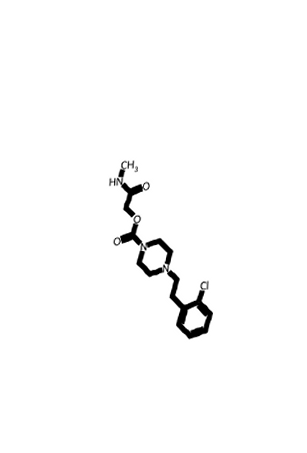 CNC(=O)COC(=O)N1CCN(CCc2ccccc2Cl)CC1